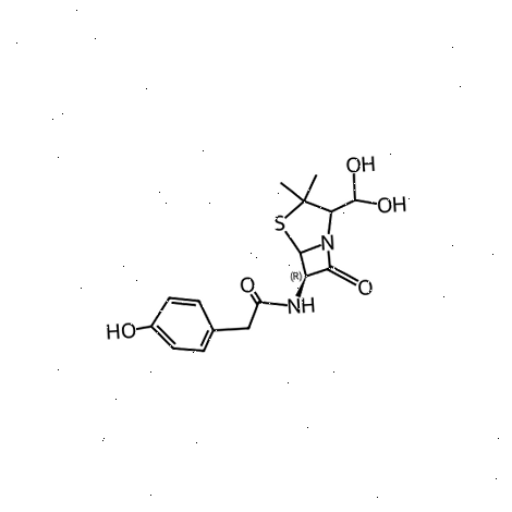 CC1(C)SC2[C@H](NC(=O)Cc3ccc(O)cc3)C(=O)N2C1C(O)O